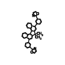 CC1(C)c2cc(-c3cccc(-c4ncco4)c3)c3ccccc3c2-c2c1cc(-c1cccc(-c3ncco3)c1)c1ccccc21